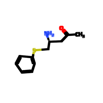 CC(=O)C[C@@H](N)CSc1ccccc1